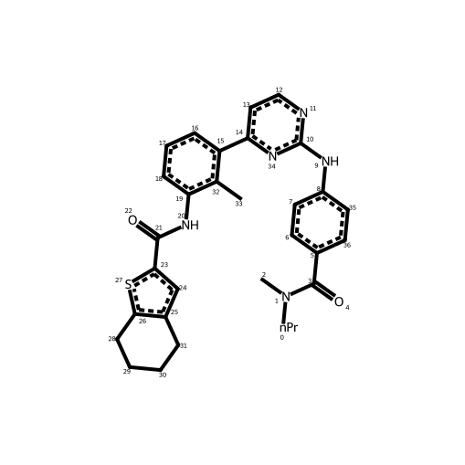 CCCN(C)C(=O)c1ccc(Nc2nccc(-c3cccc(NC(=O)c4cc5c(s4)CCCC5)c3C)n2)cc1